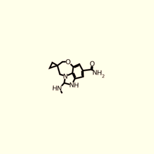 CNC1Nc2cc(C(N)=O)cc3c2N1CC1(CC1)CO3